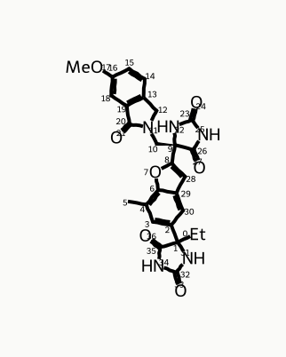 CCC1(c2cc(C)c3oc([C@]4(CN5Cc6ccc(OC)cc6C5=O)NC(=O)NC4=O)cc3c2)NC(=O)NC1=O